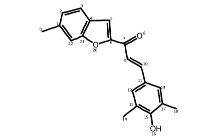 Cc1ccc2cc(C(=O)/C=C/c3cc(C)c(O)c(C)c3)oc2c1